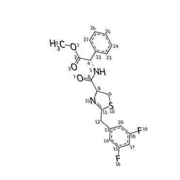 COC(=O)[C@@H](NC(=O)C1CSC(Cc2cc(F)cc(F)c2)=N1)c1ccccc1